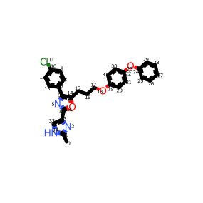 Cc1nc(-c2nc(-c3ccc(Cl)cc3)c(CCCOc3ccc(Oc4ccccc4)cc3)o2)c[nH]1